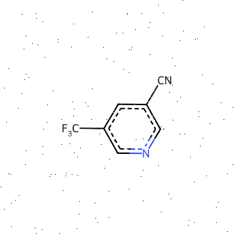 N#Cc1[c]ncc(C(F)(F)F)c1